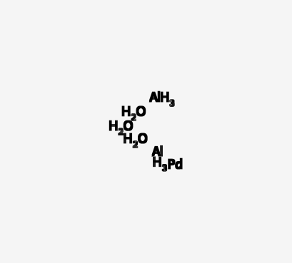 O.O.O.[AlH3].[AlH3].[Pd]